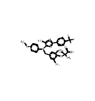 COc1ccc(N(Cc2cc(C)c(OC(C)(C)C(=O)O)c(C)c2)c2sc(-c3ccc(C(F)(F)F)cc3)nc2C)cc1